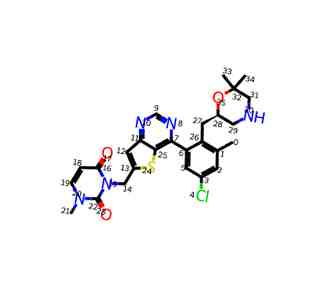 Cc1cc(Cl)cc(-c2ncnc3cc(Cn4c(=O)ccn(C)c4=O)sc23)c1C[C@@H]1CNCC(C)(C)O1